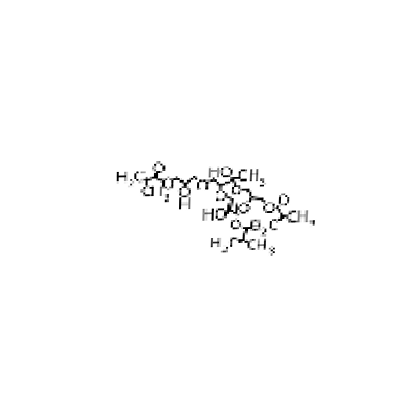 C=C(C)C(=O)OCC(O)COCC(OCC(O)COC(=O)C(=C)C)C(C)(O)OCC(O)COC(=O)C(=C)C